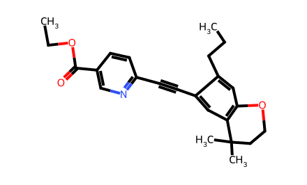 CCCc1cc2c(cc1C#Cc1ccc(C(=O)OCC)cn1)C(C)(C)CCO2